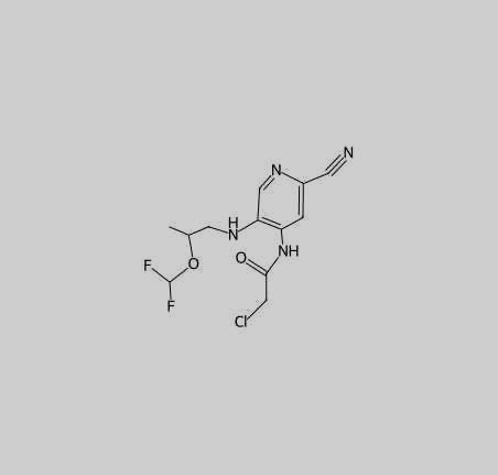 CC(CNc1cnc(C#N)cc1NC(=O)CCl)OC(F)F